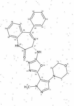 Cn1ncc(N2CCOCC2)c1-c1nnc(N[C@H]2N=C(c3ccccc3)c3ccccc3NC2=O)o1